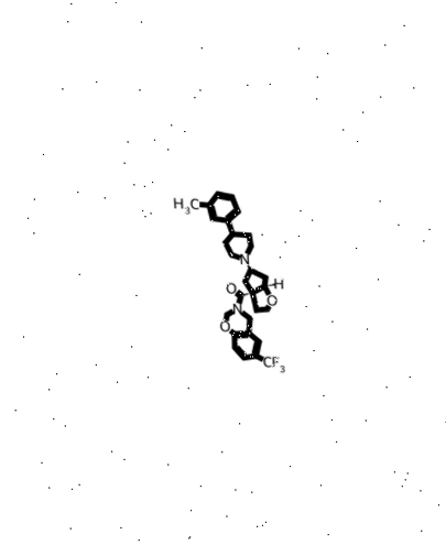 Cc1cccc(C2CCN([C@@H]3C[C@H]4OCC[C@@]4(C(=O)N4COc5ccc(C(F)(F)F)cc5C4)C3)CC2)c1